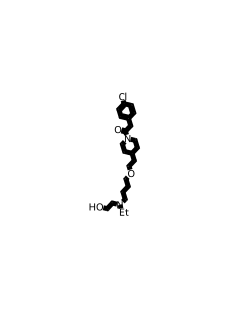 CCN(CCO)CCCCOCCC1CCN(C(=O)Cc2ccc(Cl)cc2)CC1